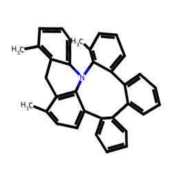 Cc1cccc2c1Cc1c(C)ccc3c4ccccc4c4ccccc4c4cccc(C)c4n-2c13